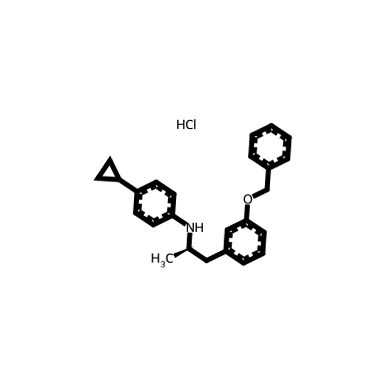 C[C@H](Cc1cccc(OCc2ccccc2)c1)Nc1ccc(C2CC2)cc1.Cl